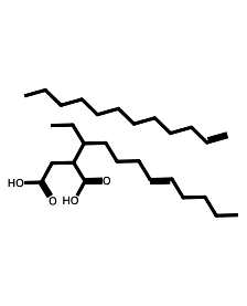 C=CCCCCCCCCCC.CCCCC=CCCCC(CC)C(CC(=O)O)C(=O)O